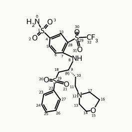 NS(=O)(=O)c1ccc(N[C@H](CCN2CCOCC2)CS(=O)(=O)c2ccccc2)c(S(=O)(=O)C(F)(F)F)c1